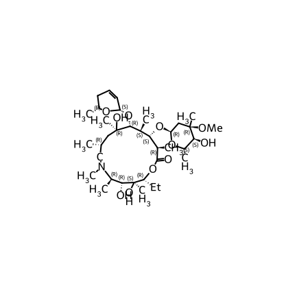 CC[C@H]1OC(=O)[C@H](C)[C@@H](O[C@H]2C[C@@](C)(OC)[C@@H](O)[C@H](C)O2)[C@H](C)[C@@H](O[C@H]2C=CC[C@@H](C)O2)[C@](C)(O)C[C@@H](C)CN(C)[C@H](C)[C@@H](O)[C@]1(C)O